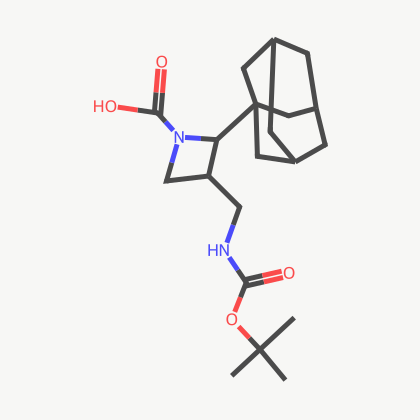 CC(C)(C)OC(=O)NCC1CN(C(=O)O)C1C12CC3CC(CC(C3)C1)C2